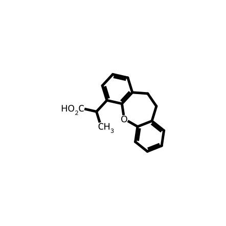 CC(C(=O)O)c1cccc2c1Oc1ccccc1CC2